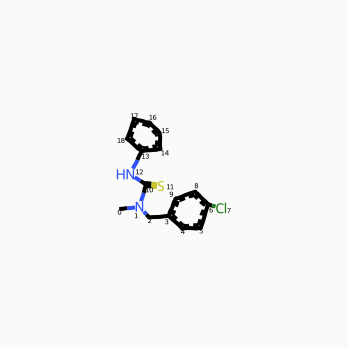 CN(Cc1ccc(Cl)cc1)C(=S)Nc1ccccc1